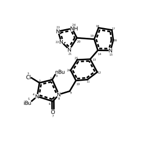 CCCCc1c(Cl)n(C(C)CC)c(=O)n1Cc1ccc(-c2ncccc2-c2nnn[nH]2)cc1